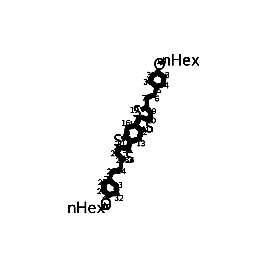 CCCCCCOc1ccc(/C=C/c2cc3sc4cc5c(cc4c3s2)sc2cc(/C=C/c3ccc(OCCCCCC)cc3)sc25)cc1